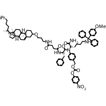 COc1ccc(C(NCCCC[C@@H](C(N)=O)N(C(=O)[C@H](Cc2ccccc2)NC(=O)CCC(=O)NCCCOC2CC[C@@]3(C)C(=CC[C@H]4[C@@H]5CC[C@H]([C@H](C)CCCC(C)C)[C@@]5(C)CC[C@@H]43)C2)c2ccc(COC(=O)Oc3ccc([N+](=O)[O-])cc3)cc2)(c2ccccc2)c2ccccc2)cc1